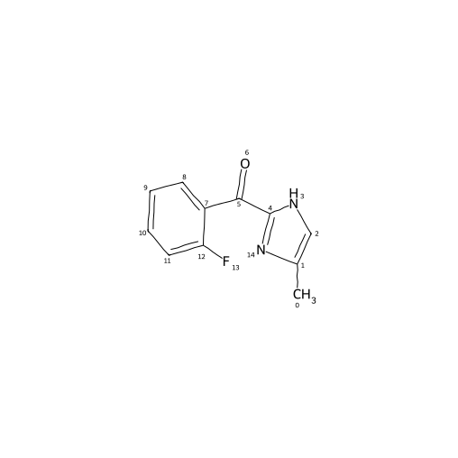 Cc1c[nH]c(C(=O)c2ccccc2F)n1